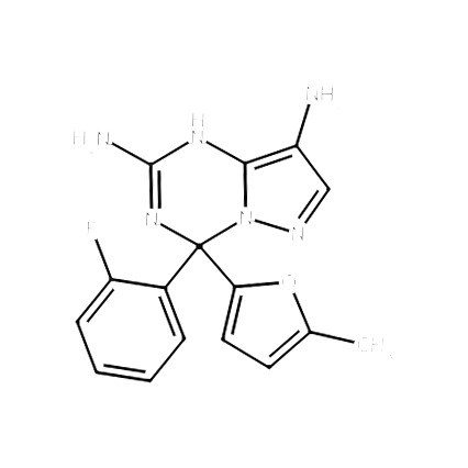 Cc1ccc(C2(c3ccccc3F)N=C(N)Nc3c(N)cnn32)o1